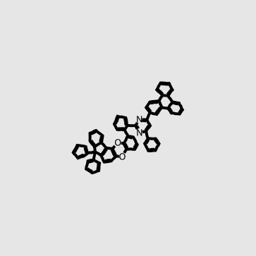 c1ccc(-c2cc(-c3ccc4c5ccccc5c5ccccc5c4c3)nc(-c3ccccc3-c3cccc4c3Oc3c(ccc5c3-c3ccccc3C5(c3ccccc3)c3ccccc3)O4)n2)cc1